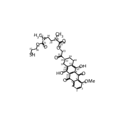 COc1cccc2c1C(=O)c1c(O)c3c(c(O)c1C2=O)C[C@@H](C(=O)COC(=O)N(C)CCN(C)C(=O)OCCS)CC3